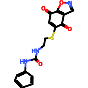 O=C(NCCSC1=CC(=O)c2oncc2C1=O)Nc1ccccc1